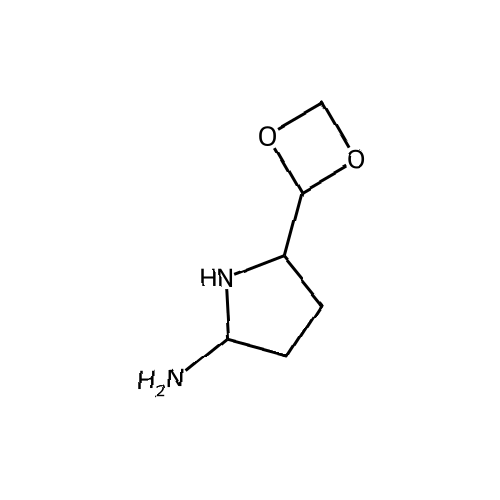 NC1CCC(C2OCO2)N1